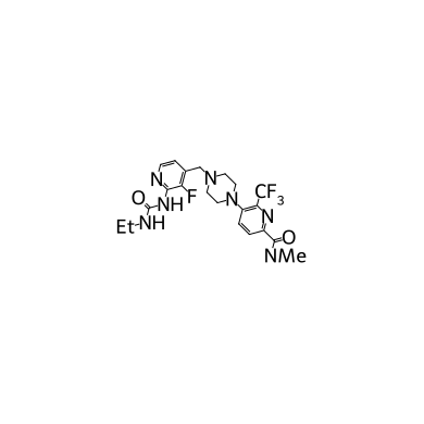 CCNC(=O)Nc1nccc(CN2CCN(c3ccc(C(=O)NC)nc3C(F)(F)F)CC2)c1F